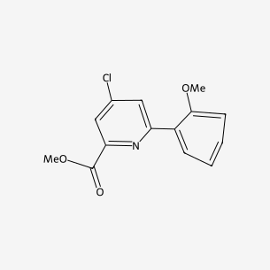 COC(=O)c1cc(Cl)cc(-c2ccccc2OC)n1